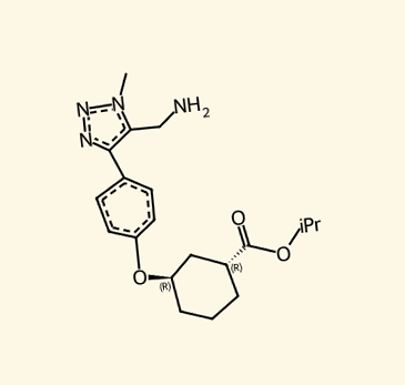 CC(C)OC(=O)[C@@H]1CCC[C@@H](Oc2ccc(-c3nnn(C)c3CN)cc2)C1